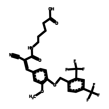 COc1cc(C=C(C#N)C(=O)NCCCCC(=O)O)ccc1OCc1ccc(C(F)(F)F)cc1C(F)(F)F